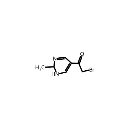 CC1N=CC(C(=O)CBr)=CN1